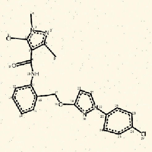 Cc1nn(C)c(Cl)c1C(=O)Nc1ccccc1COc1ccn(-c2ccc(Cl)cc2)n1